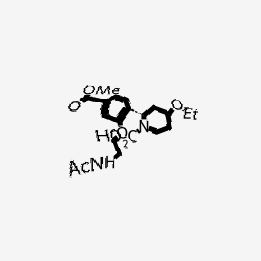 CCOC1CCN(C(=O)O)[C@H](c2ccc(C(=O)OC)cc2OCCNC(C)=O)C1